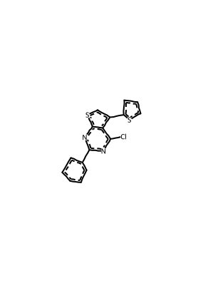 Clc1nc(-c2ccccc2)nc2scc(-c3cccs3)c12